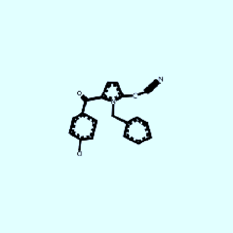 N#CCc1ccc(C(=O)c2ccc(Cl)cc2)n1Cc1ccccc1